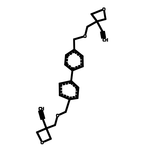 C#CC1(COCc2ccc(-c3ccc(COCC4(C#C)COC4)cc3)cc2)COC1